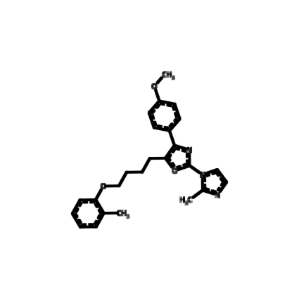 COc1ccc(-c2nc(-n3ccnc3C)oc2CCCCOc2ccccc2C)cc1